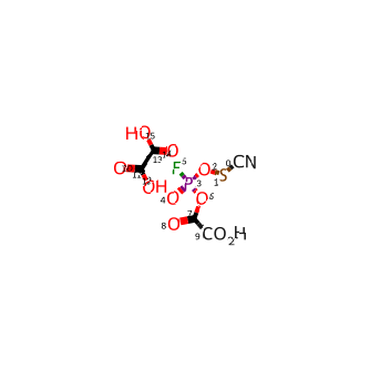 N#CSOP(=O)(F)OC(=O)C(=O)O.O=C(O)C(=O)O